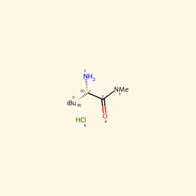 CC[C@@H](C)[C@H](N)C(=O)NC.Cl